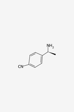 [C-]#[N+]c1ccc([C@H](C)N)cc1